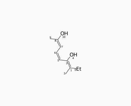 CC/C(C)=C(O)/C=C\C=C(/C)O